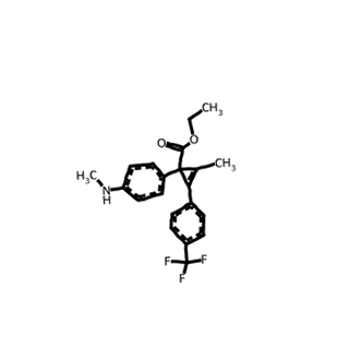 CCOC(=O)C1(c2ccc(NC)cc2)C(C)=C1c1ccc(C(F)(F)F)cc1